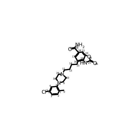 Cc1ccc(Cl)cc1N1CCN(CCCCc2cc(C(N)=O)cc3oc(=O)[nH]c23)CC1